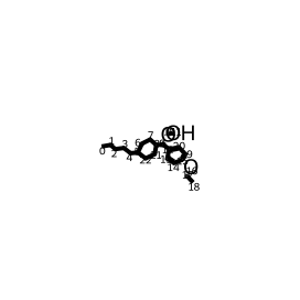 CCCCCC1CCC(C(OO)c2ccc(OCC)cc2)CC1